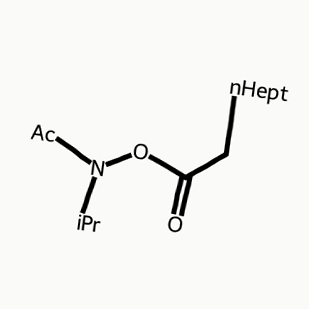 CCCCCCCCC(=O)ON(C(C)=O)C(C)C